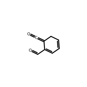 O=C=C1CC=CC=C1C=O